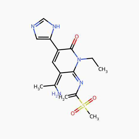 C=C(/N=C1\C(=C(\C)N)C=C(c2cnc[nH]2)C(=O)N1CC)S(C)(=O)=O